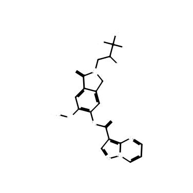 CC(C)(C)Oc1cc2c(cc1NC(=O)c1cnn3cccnc13)CN(CC(F)C(C)(C)O)C2=O